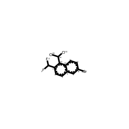 FC(F)c1ccc2cc(Br)ccc2c1C(Cl)Cl